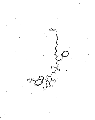 CCCCCCCCCCCCCCCCCCOC[C@H](COP(=O)(O)OC[C@H]1O[C@@](/C=N/C)(c2ccc3c(N)ncnn23)[C@H](O)[C@@H]1O)Oc1ccccc1